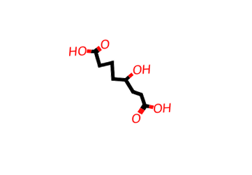 O=C(O)CCCC(O)CCC(=O)O